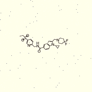 CCS(=O)(=O)c1ccc(CNC(=O)c2ccc3c(c2)cc(CN2CCC(F)(F)CC2)n3C2CC2)nc1